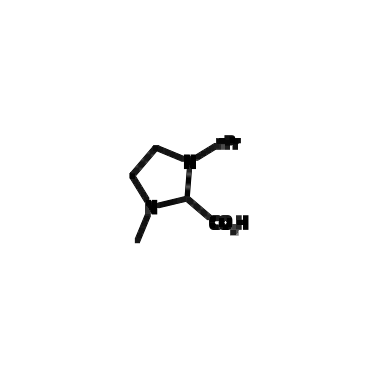 CCCN1CCN(C)C1C(=O)O